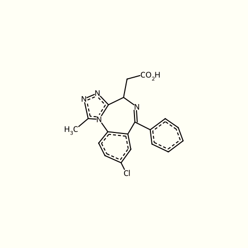 Cc1nnc2n1-c1ccc(Cl)cc1C(c1ccccc1)=NC2CC(=O)O